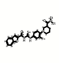 CCN(CC)C(=O)C1CCCN(c2ccc(NC(=S)NC(=O)c3cc4ccccc4o3)cc2F)C1